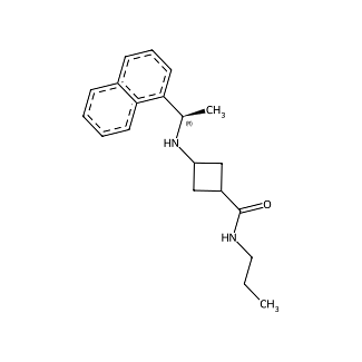 CCCNC(=O)C1CC(N[C@H](C)c2cccc3ccccc23)C1